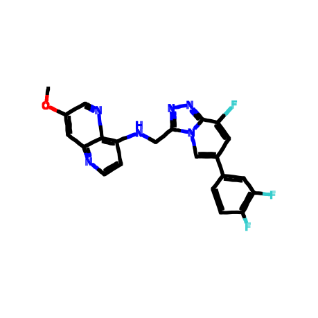 COc1cnc2c(NCc3nnc4c(F)cc(-c5ccc(F)c(F)c5)cn34)ccnc2c1